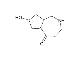 O=C1CCNCC2CC(O)CN12